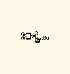 CC(C)(C)C1CCN1C(=O)N1CCS(=O)(=O)CC1